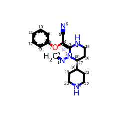 C=NN1/C(=C(/C#N)Oc2ccccc2)NCC[C@H]1C1CCNCC1